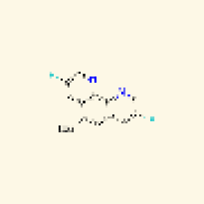 CC(C)(C)c1cc2cc(F)cnc2c2ncc(F)cc12